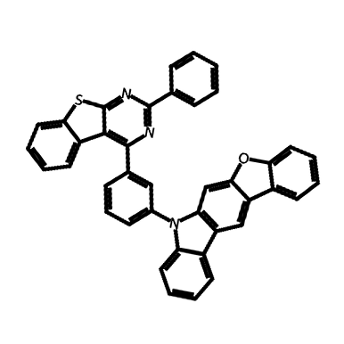 c1ccc(-c2nc(-c3cccc(-n4c5ccccc5c5cc6c(cc54)oc4ccccc46)c3)c3c(n2)sc2ccccc23)cc1